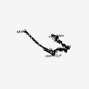 CCCCCCCCCCCN(C(=O)CCCCCCCCCC(=O)O)[C@@H](CCC(=O)N(CCNC(=O)CCOCCOCCOCCOCCOCCOCCOCCOCCOCCOCCOCCOC)CC(=O)OC(C)(C)c1ccc(C(=O)Nc2cc(F)cc(-c3ncnc4[nH]c(-c5ccc(CCN6CCC7(CC6)CCN(C(=O)c6ccc(OC)c(N8CCC(=O)NC8=O)c6)CC7)cc5)cc34)c2C)c(F)c1)C(=O)O